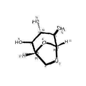 OC1[C@@H]2OC[C@@H](O2)C(O)[C@@H]1O